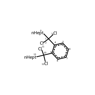 CCCCCCCC(Cl)(Cl)c1ccccc1C(Cl)(Cl)CCCCCCC